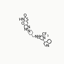 O=C1NC(=O)/C(=C\c2ccnc(N3CCC(CNCc4cc(-c5ccnc6ccccc56)nc(C(F)(F)F)c4)CC3)n2)S1